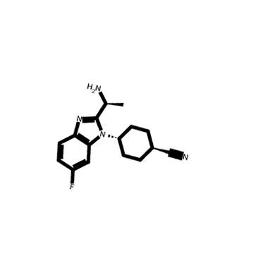 C[C@H](N)c1nc2ccc(F)cc2n1[C@H]1CC[C@H](C#N)CC1